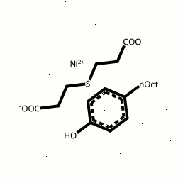 CCCCCCCCc1ccc(O)cc1.O=C([O-])CCSCCC(=O)[O-].[Ni+2]